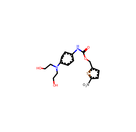 O=C(Nc1ccc(N(CCO)CCO)cc1)OCc1ccc([N+](=O)[O-])s1